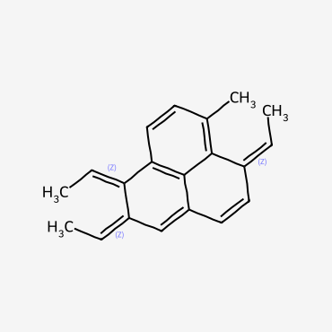 C/C=c1/cc2cc/c(=C/C)c3c(C)ccc(/c1=C/C)c23